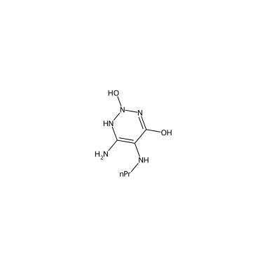 CCCNC1=C(N)NN(O)N=C1O